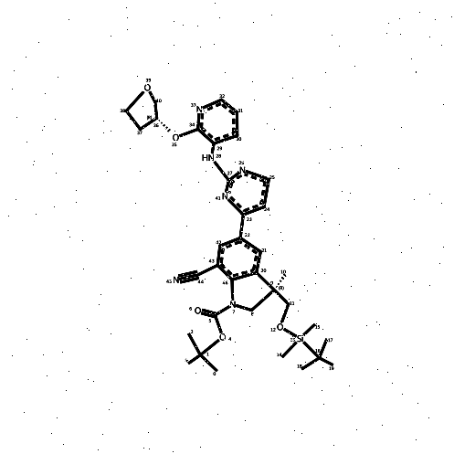 CC(C)(C)OC(=O)N1C[C@](C)(CO[Si](C)(C)C(C)(C)C)c2cc(-c3ccnc(Nc4cccnc4O[C@@H]4CCOC4)n3)cc(C#N)c21